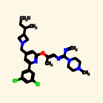 C=N/C(=N\C=C(/C)Oc1cc(CN2CC(C(C)CC(=O)O)C2)cc(-c2cc(Cl)cc(Cl)c2)n1)N1CCN(C)CC1